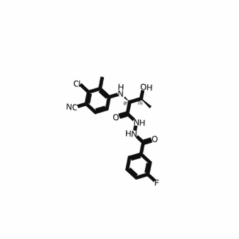 Cc1c(N[C@@H](C(=O)NNC(=O)c2cccc(F)c2)[C@H](C)O)ccc(C#N)c1Cl